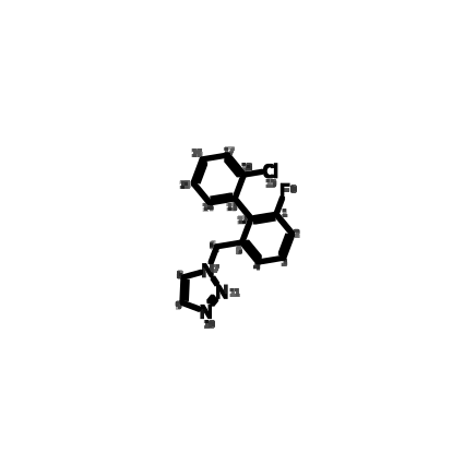 Fc1cccc([CH]n2ccnn2)c1-c1ccccc1Cl